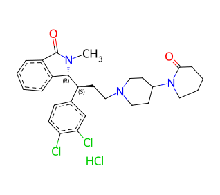 CN1C(=O)c2ccccc2[C@H]1[C@@H](CCN1CCC(N2CCCCC2=O)CC1)c1ccc(Cl)c(Cl)c1.Cl